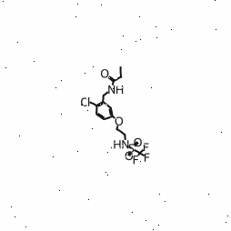 CCC(=O)NCc1cc(OCCNS(=O)(=O)C(F)(F)F)ccc1Cl